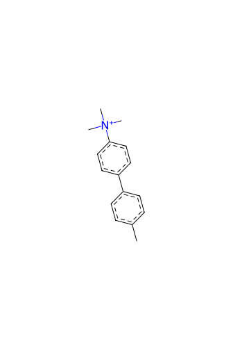 Cc1ccc(-c2ccc([N+](C)(C)C)cc2)cc1